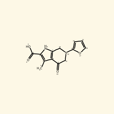 Cc1c(C(=O)O)[nH]c2c1C(=O)CN(c1ccco1)C2